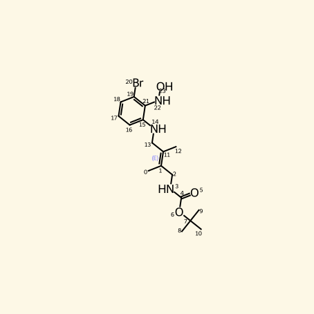 C/C(CNC(=O)OC(C)(C)C)=C(/C)CNc1cccc(Br)c1NO